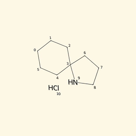 C1CCC2(CC1)CCCN2.Cl